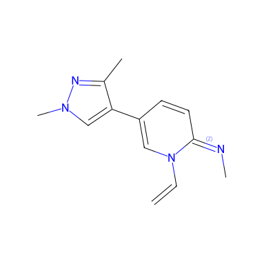 C=Cn1cc(-c2cn(C)nc2C)cc/c1=N/C